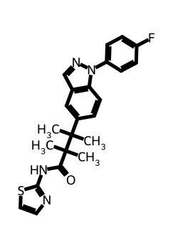 CC(C)(C(=O)Nc1nccs1)C(C)(C)c1ccc2c(cnn2-c2ccc(F)cc2)c1